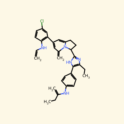 C=CNc1ccc(Cl)cc1C1=CC(=C)N2C(=C1)CCC2c1nc(CC)c(-c2ccc(NC(=C)CC)cc2)[nH]1